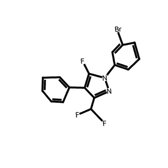 Fc1c(-c2ccccc2)c(C(F)F)nn1-c1cccc(Br)c1